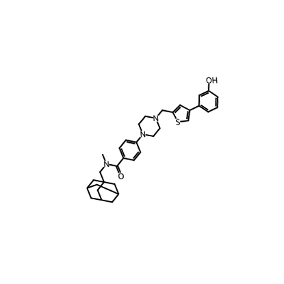 CN(CC12CC3CC(CC(C3)C1)C2)C(=O)c1ccc(N2CCN(Cc3cc(-c4cccc(O)c4)cs3)CC2)cc1